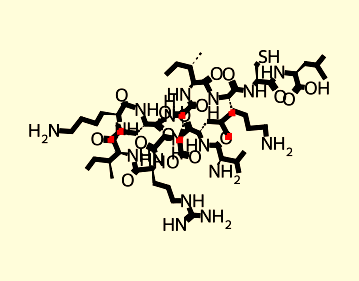 CC[C@H](C)[C@H](NC(=O)[C@H](CCC(=O)O)NC(=O)[C@H](CC(C)C)NC(=O)[C@H](CCCCN)NC(=O)[C@@H](NC(=O)[C@H](CCCNC(=N)N)NC(=O)[C@H](CO)NC(=O)[C@H](CC(C)C)NC(=O)[C@@H](N)C(C)C)[C@@H](C)CC)C(=O)N[C@@H](CCCCN)C(=O)N[C@@H](CS)C(=O)N[C@@H](CC(C)C)C(=O)O